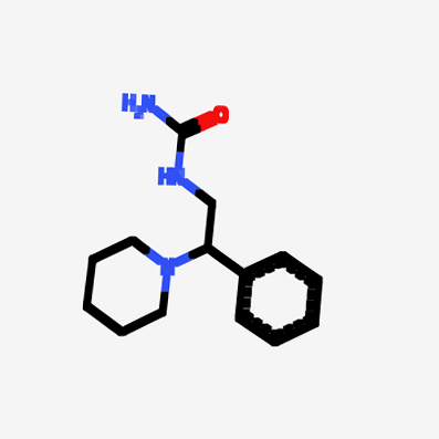 NC(=O)NCC(c1ccccc1)N1CCCCC1